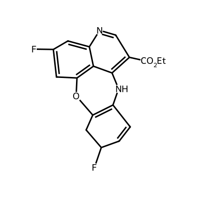 CCOC(=O)c1cnc2cc(F)cc3c2c1NC1=C(CC(F)C=C1)O3